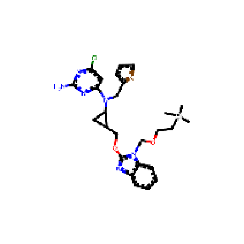 C[Si](C)(C)CCOCn1c(OCC2CC2N(Cc2cccs2)c2cc(Cl)nc(N)n2)nc2ccccc21